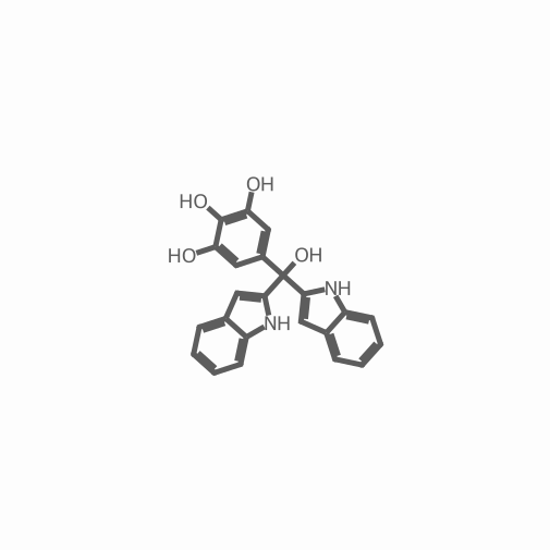 Oc1cc(C(O)(c2cc3ccccc3[nH]2)c2cc3ccccc3[nH]2)cc(O)c1O